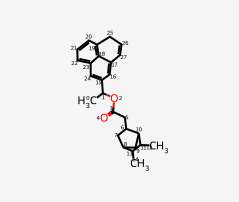 CC(OC(=O)CC1CC2CC1C(C)C2C)c1cc2c3c(cccc3c1)CC=C2